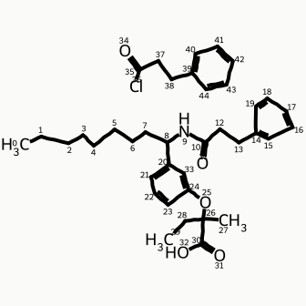 CCCCCCCCC(NC(=O)CCc1ccccc1)c1cccc(OC(C)(CC)C(=O)O)c1.O=C(Cl)CCc1ccccc1